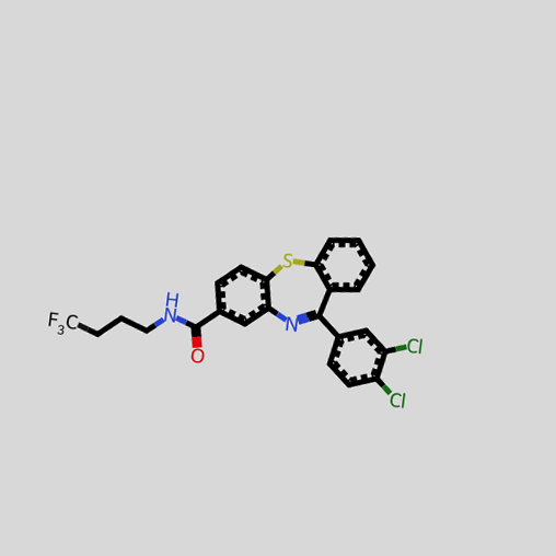 O=C(NCCCC(F)(F)F)c1ccc2c(c1)N=C(c1ccc(Cl)c(Cl)c1)c1ccccc1S2